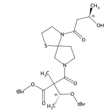 C[C@@H](O)CC(=O)N1CCSC12CCN(C(=O)C(C)(C(=O)OC(C)(C)C)[C@@H](C)OC(C)(C)C)C2